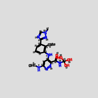 COc1c(Nc2cc(NC=O)nnc2C(=O)NC(O)(O)O)cccc1-c1ncn(C)n1